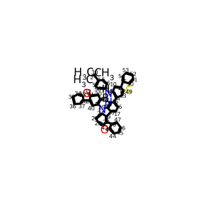 CC(C)(C)c1ccc(Nc2cc3c(cc2-c2ccc4c5c6c(ccc5n5c4c2Bc2cc4oc7ccccc7c4cc2-5)oc2ccccc26)sc2ccccc23)cc1